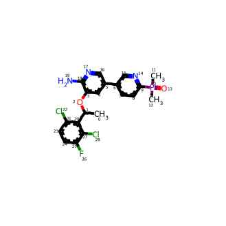 CC(Oc1cc(-c2ccc(P(C)(C)=O)nc2)cnc1N)c1c(Cl)ccc(F)c1Cl